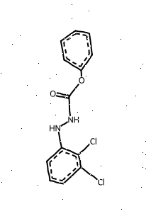 O=C(NNc1cccc(Cl)c1Cl)Oc1ccccc1